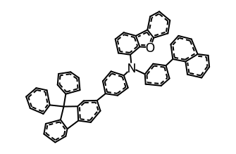 c1ccc(C2(c3ccccc3)c3ccccc3-c3ccc(-c4ccc(N(c5cccc(-c6cccc7ccccc67)c5)c5cccc6c5oc5ccccc56)cc4)cc32)cc1